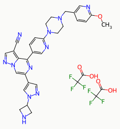 COc1ccc(CN2CCN(c3ccc(-c4nc(-c5cnn(C6CNC6)c5)cn5ncc(C#N)c45)cn3)CC2)cn1.O=C(O)C(F)(F)F.O=C(O)C(F)(F)F